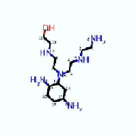 NCCNCCN(CCNCCO)C1CC(N)CCC1N